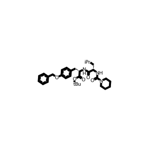 CC(C)C[C@H](NC(=O)N1CCCCC1)C(=O)N[C@@H](Cc1ccc(OCc2ccccc2)cc1)C(=O)OC(C)(C)C